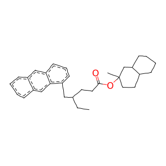 CCC(CCC(=O)OC1(C)CCC2CCCCC2C1)Cc1cccc2cc3ccccc3cc12